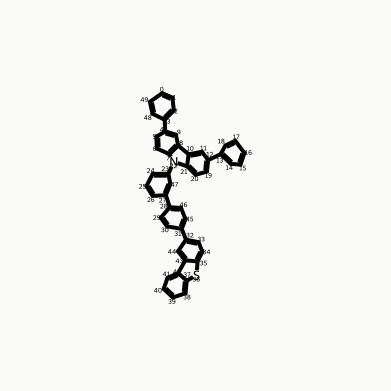 c1ccc(-c2ccc3c(c2)c2cc(-c4ccccc4)ccc2n3-c2cccc(-c3ccc(-c4ccc5sc6ccccc6c5c4)cc3)c2)cc1